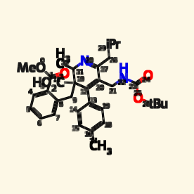 COC(=O)c1ccccc1CC1(C(=O)O)C(c2ccc(C)cc2)=C(CNC(=O)OC(C)(C)C)C(CC(C)C)=NC1C